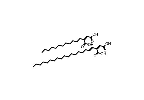 CCCCCCCCCCCCC(=CC(=O)O)C(=O)O.CCCCCCCCCCCCCCCCC=CC(=CC(=O)O)C(=O)O